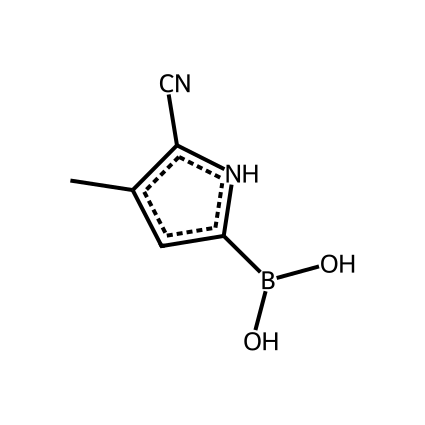 Cc1cc(B(O)O)[nH]c1C#N